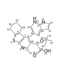 Cc1nc2sc3c(c2c(-c2c[nH]c4nccc-4c2)c1C(OC(C)(C)C)C(=O)O)CCCC3